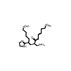 CCCCCCCCCCCCCCCC(=O)C(CN)CC(CCCCCCCCCCCCCC)C1=NCCN1